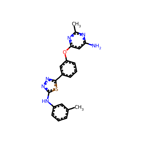 Cc1cccc(Nc2nnc(-c3cccc(Oc4cc(N)nc(C)n4)c3)s2)c1